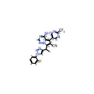 CC(c1cn(-c2ccccc2F)nn1)c1c(C#N)c(-c2cnc(C(F)(F)F)nc2)c2c(N)ncnn12